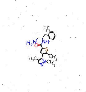 Cc1cnn(C)c1-c1cc(C(=O)N[C@H](CN)Cc2ccccc2C(F)(F)F)sc1C